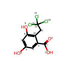 O=C(O)c1cc(O)cc(O)c1CC(Cl)(Cl)Cl